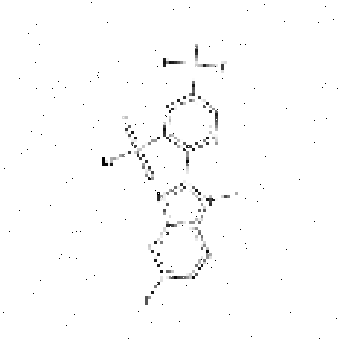 CCS(=O)(=O)c1cc(C(C)(F)F)cnc1-c1nc2nc(I)cnc2n1C